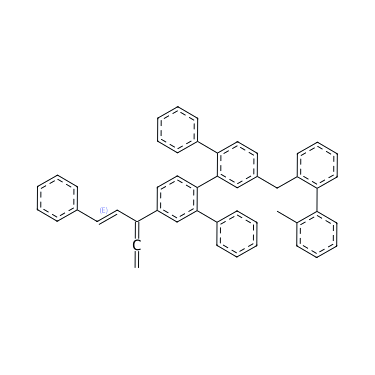 C=C=C(/C=C/c1ccccc1)c1ccc(-c2cc(Cc3ccccc3-c3ccccc3C)ccc2-c2ccccc2)c(-c2ccccc2)c1